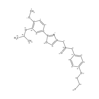 COc1ccc(-c2nc(CC(=O)Cc3ccc(OCCF)cc3)co2)cc1OC(C)C